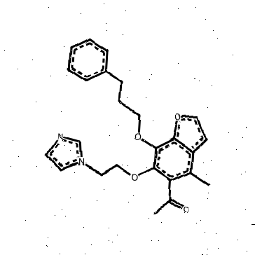 CC(=O)c1c(OCCn2ccnc2)c(OCCCc2ccccc2)c2occc2c1C